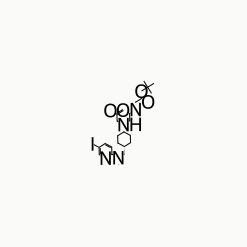 COC(=O)CN(CCNCC(=O)OC(C)(C)C)[C@H]1CC[C@H](CN(C)c2ccc(I)cn2)CC1